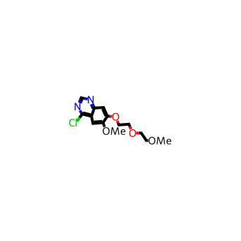 COCCOCCOc1cc2ncnc(Cl)c2cc1OC